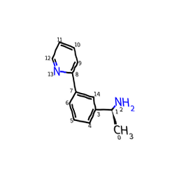 C[C@H](N)c1cccc(-c2ccccn2)c1